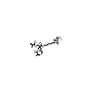 C=C(C)C(=O)OCC(CCCC)(COC(=O)C(=C)C)C(=O)OCCCCCCS(=O)(=O)ON